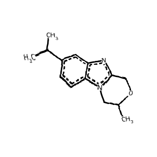 CC1Cn2c(nc3cc(C(C)C)ccc32)CO1